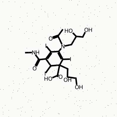 CNC(=O)C1=C(I)C(N(CC(O)CO)C(C)=O)=C(I)C(CC(O)CO)(C(=O)O)C1I